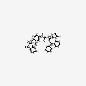 Cc1cnc2n1-c1ccccc1C(c1ccccc1)=NC2NC(=O)Nc1ccc2c(c1)CC1(C2)C(=O)Nc2ncccc21